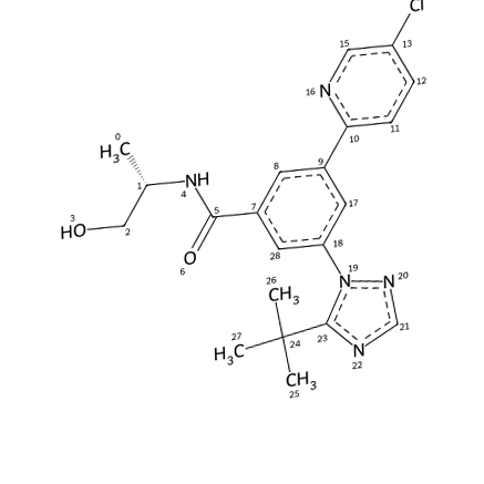 C[C@@H](CO)NC(=O)c1cc(-c2ccc(Cl)cn2)cc(-n2ncnc2C(C)(C)C)c1